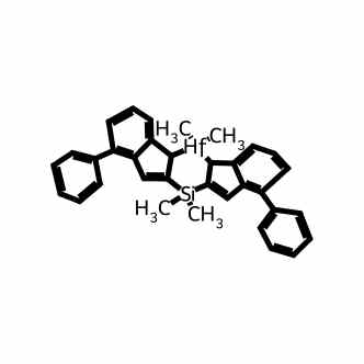 C[Si]1(C)C2=Cc3c(-c4ccccc4)cccc3[CH]2[Hf]([CH3])([CH3])[CH]2C1=Cc1c(-c3ccccc3)cccc12